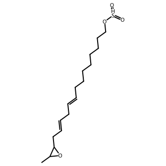 CC1OC1CC=CCC=CCCCCCCCCO[SH](=O)=O